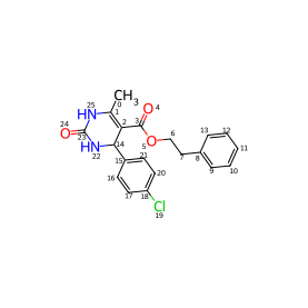 CC1=C(C(=O)OCCc2ccccc2)C(c2ccc(Cl)cc2)NC(=O)N1